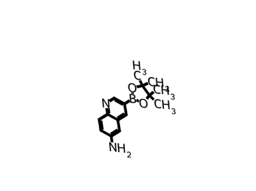 CC1(C)OB(c2cnc3ccc(N)cc3c2)OC1(C)C